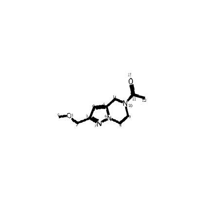 COCc1cc2n(n1)CCN(C(C)=O)C2